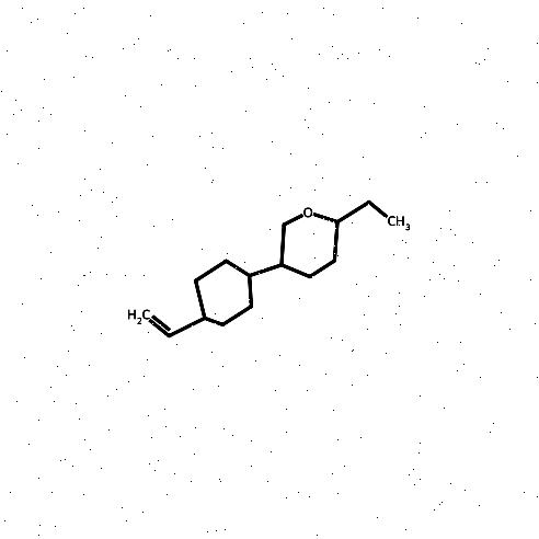 C=CC1CCC(C2CCC(CC)OC2)CC1